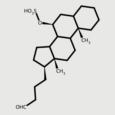 C[C@]12CCCCC1C[C@H](OS(=O)(=O)O)C1C2CC[C@@]2(C)C1CC[C@@H]2CCCC=O